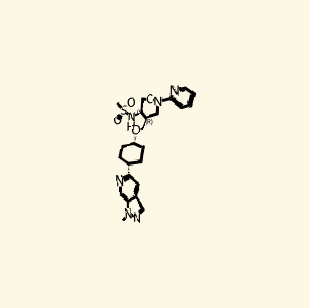 Cn1ncc2cc([C@H]3CC[C@@H](OC[C@@H]4CN(c5ccccn5)CC[C@@H]4NS(C)(=O)=O)CC3)ncc21